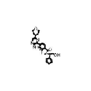 CN(C(=O)c1ccc(-c2nc(C3CCOCC3)cnc2N)cc1F)C(CO)c1ccccc1